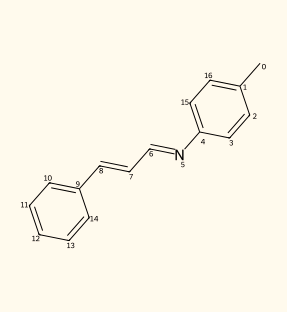 Cc1ccc(/N=C/C=C/c2ccccc2)cc1